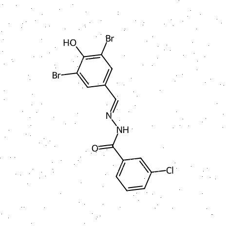 O=C(NN=Cc1cc(Br)c(O)c(Br)c1)c1cccc(Cl)c1